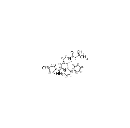 CC(C)CC(=O)N1CCN(CC2=C(c3ccc(Cl)cc3)NC3C=CC(c4ccccc4)=CN23)CC1